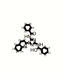 O=C(Nc1nc(NC(O)c2ccccc2)nn1-c1ccc2ccccc2n1)c1ccccc1